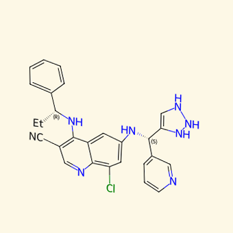 CC[C@@H](Nc1c(C#N)cnc2c(Cl)cc(N[C@H](C3=CNNN3)c3cccnc3)cc12)c1ccccc1